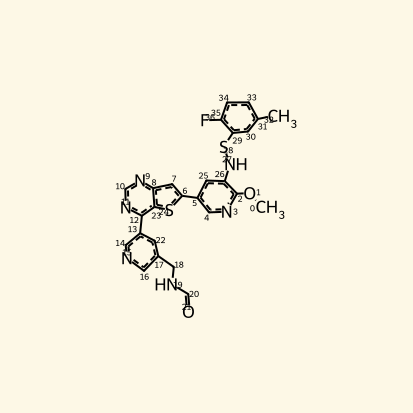 COc1ncc(-c2cc3ncnc(-c4cncc(CNC=O)c4)c3s2)cc1NSc1cc(C)ccc1F